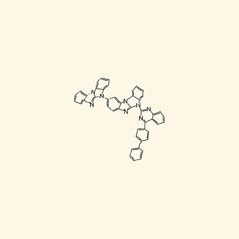 c1ccc(-c2ccc(-c3nc(-n4c5ccccc5n5c6cc(-n7c8ccccc8n8c9ccccc9nc78)ccc6nc45)nc4ccccc34)cc2)cc1